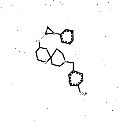 O=C(O)c1ccc(CN2CCC3(CC2)CC(N[C@@H]2C[C@H]2c2ccccc2)CCO3)cc1